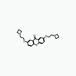 O=c1c2cc(OCCN3CCC3)ccc2sc2ccc(OCCN3CCC3)cc12